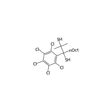 CCCCCCCCC(S)(c1c(Cl)c(Cl)c(Cl)c(Cl)c1Cl)C(C)(C)S